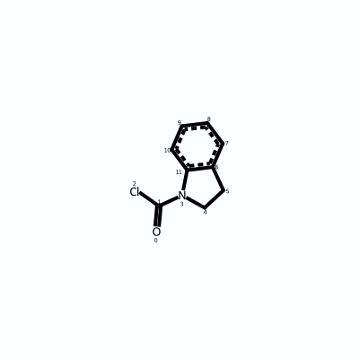 O=C(Cl)N1CCc2ccccc21